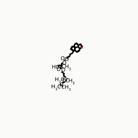 CN(C)CC[N+](C)(C)CCCCOC(=O)C(C)(CO)COC(=O)OCCCCc1ccc2c3c1C=CC1=CC=CC(=CC2)C13